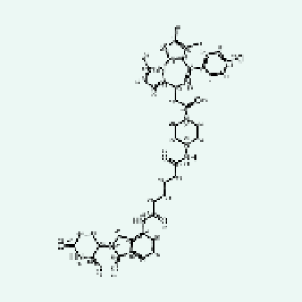 Cc1sc2c(c1C)C(c1ccc(Cl)cc1)=N[C@@H](CC(=O)N1CCN(NC(=O)CCCCC(=O)Nc3cccc4c3CN(C3CCC(=O)NC3=O)C4=O)CC1)c1nnc(C)n1-2